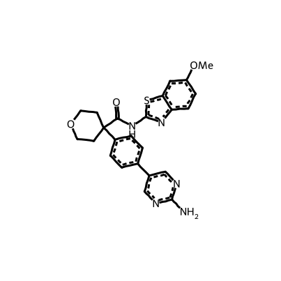 COc1ccc2nc(NC(=O)C3(c4ccc(-c5cnc(N)nc5)cc4)CCOCC3)sc2c1